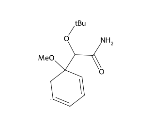 COC1(C(OC(C)(C)C)C(N)=O)C=CC=[C]C1